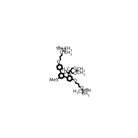 CSc1cc(-c2ccc(OCCCO[Si](C)(C)C(C)(C)C)cc2)c(OC(=O)C2(C)COC(C)(C)OC2)c(-c2ccc(OCCCO[Si](C)(C)C(C)(C)C)cc2)c1